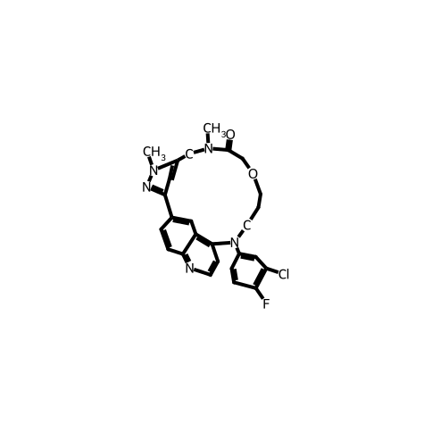 CN1Cc2cc(nn2C)-c2ccc3nccc(c3c2)N(c2ccc(F)c(Cl)c2)CCCOCC1=O